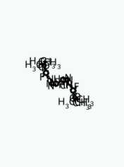 Cc1c(-c2ccc3nnc(NCc4ccc(B5OC(C)(C)C(C)(C)O5)cc4F)n3c2)ccc2nnc(NCc3ccc(B4OC(C)(C)C(C)(C)O4)cc3F)n12